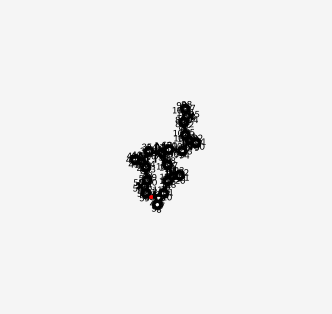 CC1(C)c2ccccc2-c2ccc(-c3ccc4c(c3)c3ccccc3n4-c3ccc(-c4nc(-c5cccc(-n6c7ccccc7c7cc(-c8ccc9c(c8)C(C)(C)c8ccccc8-9)ccc76)c5)nc5ccc(-c6cccc(-n7c8ccccc8c8cc(-c9ccc%10c(c9)C(C)(C)c9ccccc9-%10)ccc87)c6)cc45)cc3)cc21